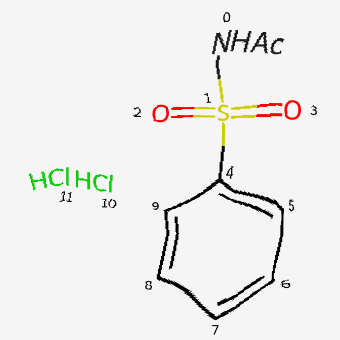 CC(=O)NS(=O)(=O)c1ccccc1.Cl.Cl